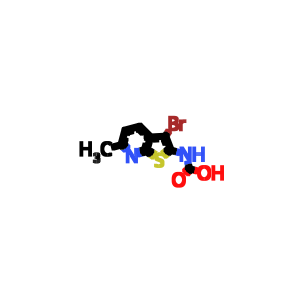 Cc1ccc2c(Br)c(NC(=O)O)sc2n1